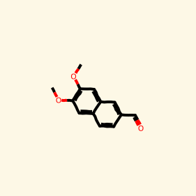 COc1cc2ccc(C=O)cc2cc1OC